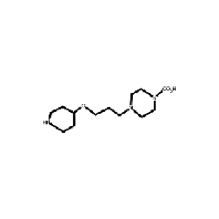 O=C(O)N1CCN(CCCOC2CCNCC2)CC1